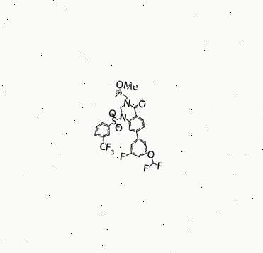 CO[C@@H](C)CN1CN(S(=O)(=O)c2cccc(C(F)(F)F)c2)c2cc(-c3cc(F)cc(OC(F)F)c3)ccc2C1=O